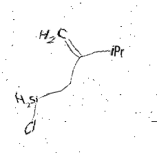 C=C(C[SiH2]Cl)C(C)C